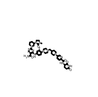 CN1CCN(C2CCCN(c3nnc(C(N)=O)c(Nc4ccc(N5CCN(CC6CCN(c7ccc(C(=O)NC8CCC(=O)NC8=O)nc7)CC6)CC5)c(F)c4)n3)C2)C1=O